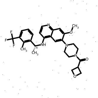 COc1cc2nccc(N[C@H](C)c3cccc(C(F)(F)F)c3C)c2cc1N1CCN(C(=O)C2COC2)CC1